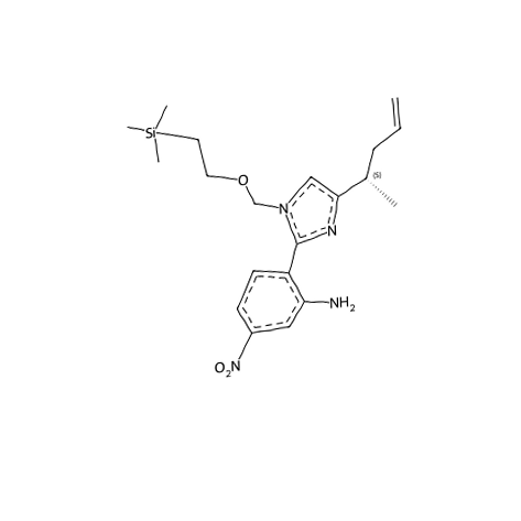 C=CC[C@H](C)c1cn(COCC[Si](C)(C)C)c(-c2ccc([N+](=O)[O-])cc2N)n1